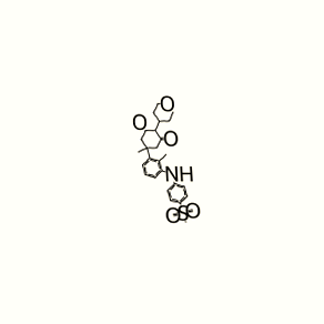 Cc1c(Nc2ccc(S(C)(=O)=O)cc2)cccc1C1(C)CC(=O)C(C2CCOCC2)C(=O)C1